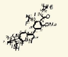 [2H]C([2H])([2H])C(C#N)(c1ccc2c(-c3cc(OC)c(C(=O)N[C@@H]4C[C@@H]4F)c(OC(F)F)c3)cnn2c1)C([2H])([2H])[2H]